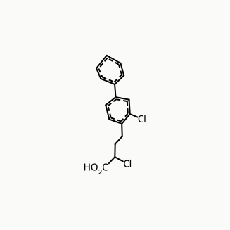 O=C(O)C(Cl)CCc1ccc(-c2ccccc2)cc1Cl